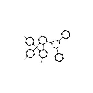 Cc1ccc(C2(c3ccc(C)cc3)c3cc(C)ccc3-c3c(-c4nc(-c5ccccc5)nc(-c5ccccc5)n4)cccc32)cc1